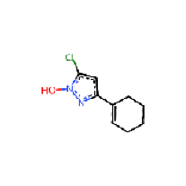 On1nc(C2=CCCCC2)cc1Cl